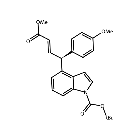 COC(=O)/C=C/[C@@H](c1ccc(OC)cc1)c1cccc2c1ccn2C(=O)OC(C)(C)C